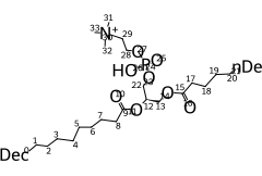 CCCCCCCCCCCCCCCCCCC(=O)O[C@H](COC(=O)CCCCCCCCCCCCCC)COP(=O)(O)OCC[N+](C)(C)C